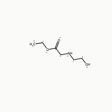 CCOC(=O)CNCCO